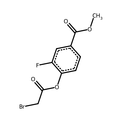 COC(=O)c1ccc(OC(=O)CBr)c(F)c1